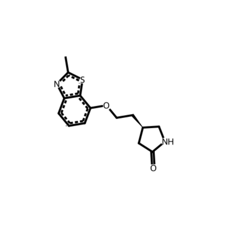 Cc1nc2c[c]cc(OCC[C@H]3CNC(=O)C3)c2s1